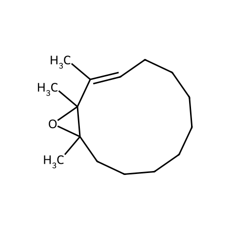 C/C1=C\CCCCCCCCC2(C)OC12C